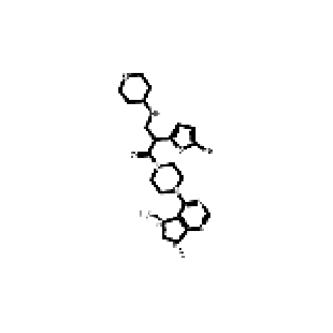 C[C@@H]1C[C@@H](F)c2ncnc(N3CCN(C(=O)C(CNC4CCOCC4)c4ccc(Br)s4)CC3)c21